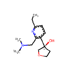 CCc1ccc([C@]2(O)CCOC2)c(CN(C)C)n1